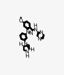 COc1ccc2c(Nc3cnccn3)nn(-c3cccc(N4C[C@@H]5C[C@H]4CN5)c3)c2c1